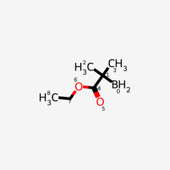 BC(C)(C)C(=O)OCC